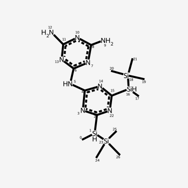 C[SiH](c1nc(Nc2nc(N)nc(N)n2)nc([SiH](C)[Si](C)(C)C)n1)[Si](C)(C)C